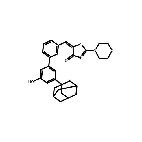 O=C1N=C(N2CCOCC2)SC1=Cc1cccc(-c2cc(O)cc(C34CC5CC(CC(C5)C3)C4)c2)c1